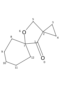 O=C1C2(CC2)COC12CCCCC2